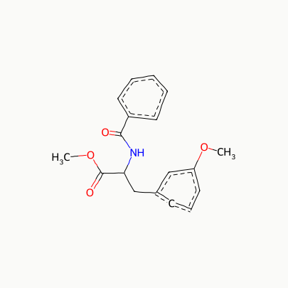 COC(=O)C(Cc1cccc(OC)c1)NC(=O)c1ccccc1